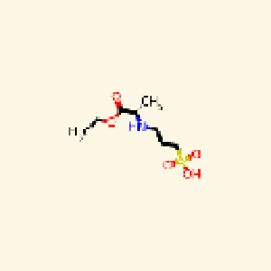 CCOC(=O)[C@H](C)NCCCS(=O)(=O)O